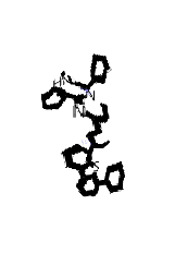 CC/C(=C\CC(CC)N=C(/N=C(\NC)c1ccccc1)c1ccccc1)c1cccc2c1sc1c(-c3ccccc3)cccc12